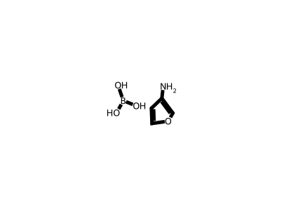 Nc1ccoc1.OB(O)O